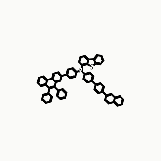 c1ccc(-c2c(-c3ccccc3)c3cc(-c4ccc(N(c5ccc(-c6ccc(-c7ccc8ccccc8c7)cc6)cc5)c5cccc6c5sc5ccccc56)cc4)ccc3c3ccccc23)cc1